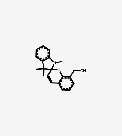 CN1c2ccccc2C(C)(C)C12C=Cc1cccc(CO)c1O2